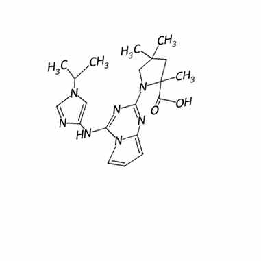 CC(C)n1cnc(Nc2nc(N3CC(C)(C)CC3(C)C(=O)O)nc3cccn23)c1